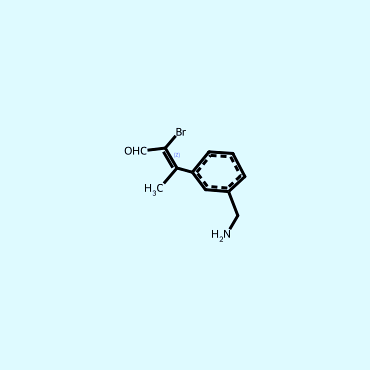 C/C(=C(/Br)C=O)c1cccc(CN)c1